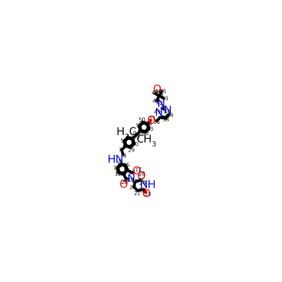 CC(C)(c1ccc(CCNc2ccc3c(c2)C(=O)N(C2CCC(=O)NC2=O)C3=O)cc1)c1ccc(OCc2ccnc(N3CC4(COC4)C3)n2)cc1